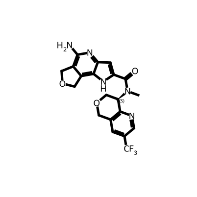 CN(C(=O)c1cc2nc(N)c3c(c2[nH]1)COC3)[C@@H]1COCc2cc(C(F)(F)F)cnc21